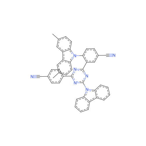 Cc1ccc2c(c1)c1cc(C)ccc1n2-c1ccc(C#N)cc1-c1nc(-c2ccc(C#N)cc2)nc(-n2c3ccccc3c3ccccc32)n1